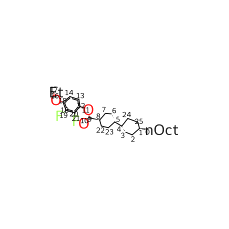 CCCCCCCC[C@H]1CC[C@H]([C@H]2CC[C@H](C(=O)Oc3ccc(OCC)c(F)c3F)CC2)CC1